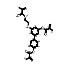 C=C(C)C(=O)OCCOc1cc(OC(=O)C(=C)C)cc(-c2ccc(OC(=O)C(=C)C)cc2)c1